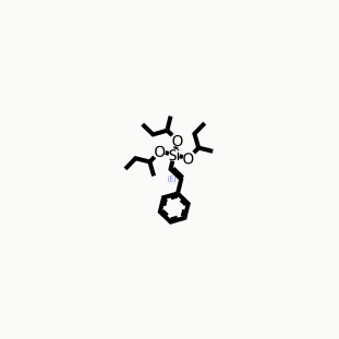 CCC(C)O[Si](/C=C/c1ccccc1)(OC(C)CC)OC(C)CC